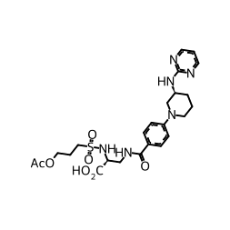 CC(=O)OCCCS(=O)(=O)N[C@@H](CNC(=O)c1ccc(N2CCC[C@H](Nc3ncccn3)C2)cc1)C(=O)O